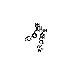 CC(C)(C)OC(=O)N1CCC(Cn2cc(Nc3nc(Cc4cccc(N5CCOCC5)c4)c4cn[nH]c4n3)cn2)C1